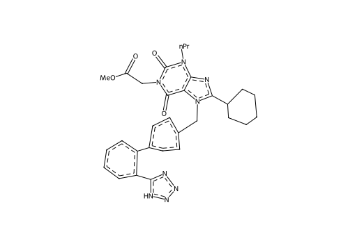 CCCn1c(=O)n(CC(=O)OC)c(=O)c2c1nc(C1CCCCC1)n2Cc1ccc(-c2ccccc2-c2nnn[nH]2)cc1